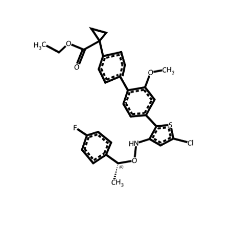 CCOC(=O)C1(c2ccc(-c3ccc(-c4sc(Cl)cc4NO[C@H](C)c4ccc(F)cc4)cc3OC)cc2)CC1